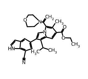 C=C(c1c(C)c(C(=O)OCC)cc2c(C(C)C)c(-c3cc(C#N)c4[nH]ccc4c3)cn12)N1CCOCC1